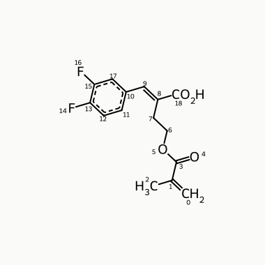 C=C(C)C(=O)OCCC(=Cc1ccc(F)c(F)c1)C(=O)O